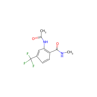 CNC(=O)c1ccc(C(F)(F)F)cc1NC(C)=O